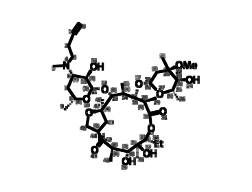 C#CCCN(C)[C@H]1C[C@@H](C)O[C@@H](O[C@@H]2[C@@H](C)[C@H](O[C@@H]3C[C@@](C)(OC)[C@@H](O)[C@H](C)O3)[C@@H](C)C(=O)O[C@H](CC)[C@@](C)(O)[C@H](O)[C@@H](C)C(=O)[C@@H]3CO[C@]2(C)C3)[C@@H]1O